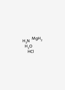 Cl.N.O.[MgH2]